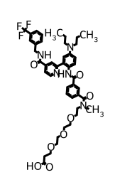 CCCN(CCC)c1ccc(NC(=O)c2cccc(C(=O)N(C)CCOCCOCCOCCC(=O)O)c2)c(-c2cc(C(=O)NCc3cccc(C(F)(F)F)c3)ccn2)c1